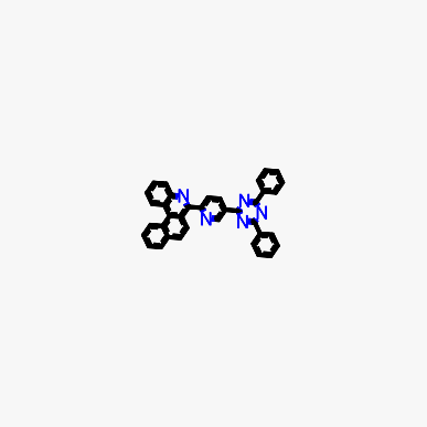 c1ccc(-c2nc(-c3ccccc3)nc(-c3ccc(-c4nc5ccccc5c5c4ccc4ccccc45)nc3)n2)cc1